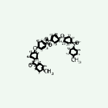 Cc1ccc(C(=O)c2ccc(Oc3ccc(S(=O)(=O)c4ccc(Oc5ccc([S+]([O-])c6ccc(C)cc6)cc5)cc4)cc3)cc2)cc1